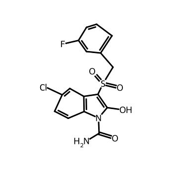 NC(=O)n1c(O)c(S(=O)(=O)Cc2cccc(F)c2)c2cc(Cl)ccc21